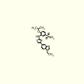 CCn1cnc2cc(-c3csc(Nc4cc(S(N)(=O)=O)ccc4OC(C)C)n3)ccc21